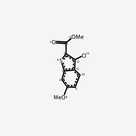 COC(=O)c1sc2cc(OC)ccc2c1Cl